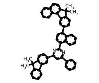 CC1(C)c2ccccc2-c2cc(-c3cc(-c4ccccc4)nc(-c4ccc(-c5ccc6c(c5)-c5c(ccc7ccccc57)C6(C)C)c5ccccc45)n3)ccc21